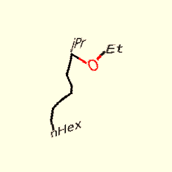 CCCCCCCCC[C@@H](OCC)C(C)C